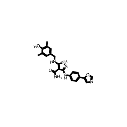 Cc1cc(CNc2[nH]nc(Nc3ccc(-c4cnco4)cc3)c2C(N)=O)cc(C)c1O